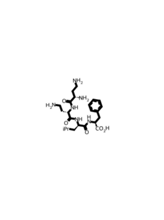 CC(C)C[C@@H](NC(=O)[C@H](CCN)NC(=O)[C@@H](N)CCN)C(=O)N[C@@H](Cc1ccccc1)C(=O)O